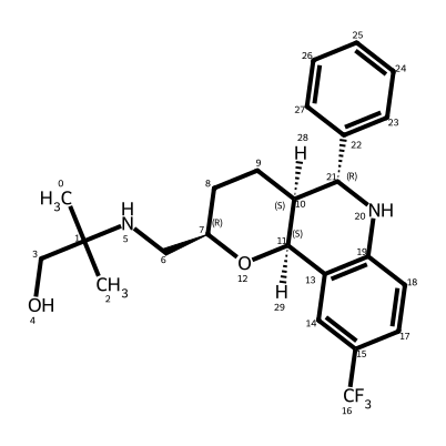 CC(C)(CO)NC[C@H]1CC[C@@H]2[C@H](O1)c1cc(C(F)(F)F)ccc1N[C@H]2c1ccccc1